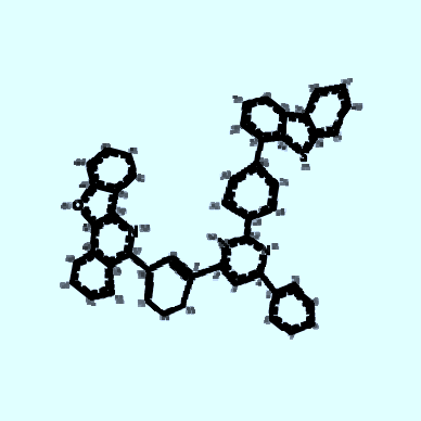 C1=C(c2cc(-c3ccccc3)nc(-c3ccc(-c4cccc5c4sc4ccccc45)cc3)n2)CCC=C1c1nc2c3ccccc3oc2c2ccccc12